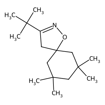 CC1(C)CC(C)(C)CC2(CC(C(C)(C)C)=NO2)C1